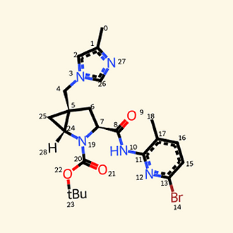 Cc1cn(C[C@@]23C[C@@H](C(=O)Nc4nc(Br)ccc4C)N(C(=O)OC(C)(C)C)[C@@H]2C3)cn1